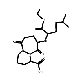 CCOC(=O)C(CCC(C)C)NC1CCC(=O)N2CCCC(C(=O)O)N2C1=O